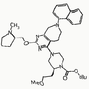 COCC[C@H]1CN(c2nc(OC[C@@H]3CCCN3C)nc3c2CCN(c2cccc4ccccc24)C3)CCN1C(=O)OC(C)(C)C